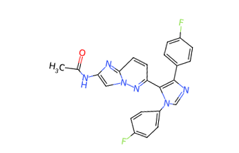 CC(=O)Nc1cn2nc(-c3c(-c4ccc(F)cc4)ncn3-c3ccc(F)cc3)ccc2n1